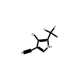 N#Cc1c[nH]c(C(F)(F)F)c1Cl